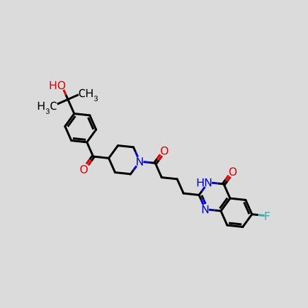 CC(C)(O)c1ccc(C(=O)C2CCN(C(=O)CCCc3nc4ccc(F)cc4c(=O)[nH]3)CC2)cc1